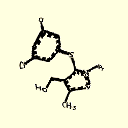 Cc1nn(C(C)C)c(Sc2cc(Cl)cc(Cl)c2)c1CO